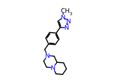 Cn1cc(-c2ccc(CN3CCN4CCCCC4C3)cc2)nn1